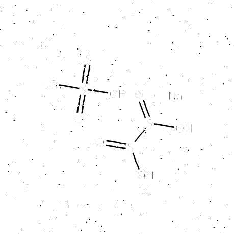 O=S(O)S(=O)O.O=S([O-])(O)=S.[Na+]